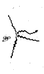 CCCCCCCCCCCCCC[N+](CCCCCCCCCCCCCC)(CCCCCCCCCCCCCC)CCCCCCCCCCCCCC.O=[N+]([O-])[O-]